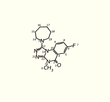 Cn1c(=O)c2cc(F)ccc2n2c(N3CCCCCC3)nnc12